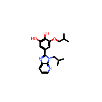 CC(C)COc1cc(-c2nc3cccnc3n2CC(C)C)cc(O)c1O